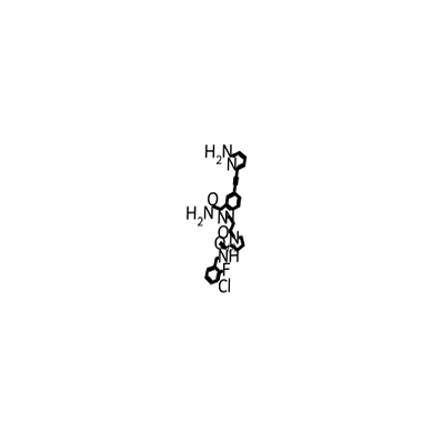 NC(=O)c1nn(CC(=O)N2CCC[C@H]2C(=O)NCc2cccc(Cl)c2F)c2ccc(C#Cc3cccc(N)n3)cc12